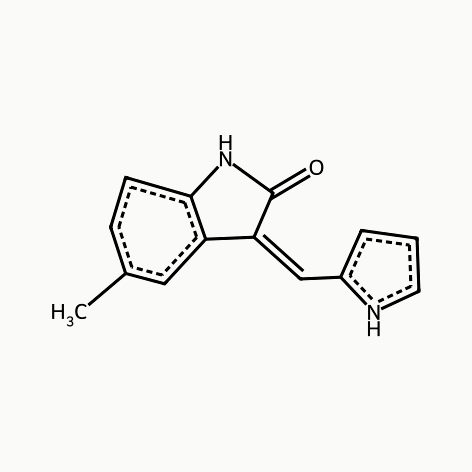 Cc1ccc2c(c1)/C(=C/c1ccc[nH]1)C(=O)N2